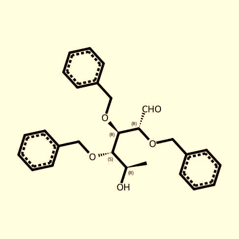 C[C@@H](O)[C@H](OCc1ccccc1)[C@@H](OCc1ccccc1)[C@H](C=O)OCc1ccccc1